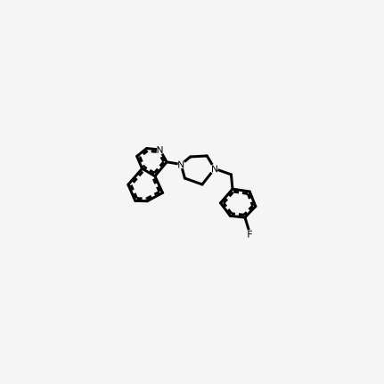 Fc1ccc(CN2CCN(c3nccc4ccccc34)CC2)cc1